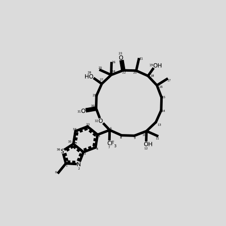 Cc1nc2cc(C3(C(F)(F)F)CCC(C)(O)CCCC(C)C(O)C(C)C(=O)C(C)(C)C(O)CC(=O)O3)ccc2s1